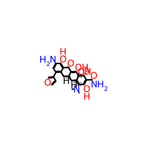 CN(C)[C@H]1C(O)=C(C(N)=O)C(=O)[C@]2(O)C(O)=C3C(=O)c4c(O)c(N)cc(-c5ccoc5)c4C[C@@H]3C[C@H]12